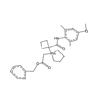 COc1cc(C)c(NC(=O)C2([PH]3(CC(=O)OCc4ccccc4)CCCC3)CCC2)c(C)c1